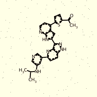 CC(=O)c1ccc(-c2ccnc3[nH]c(-c4n[nH]c5ccc(-c6cncc(NC(C)C)c6)nc45)cc23)s1